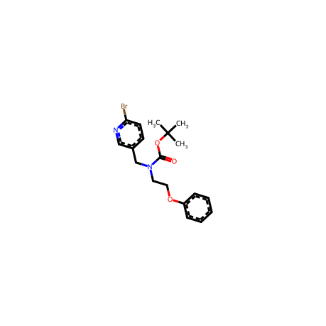 CC(C)(C)OC(=O)N(CCOc1ccccc1)Cc1ccc(Br)nc1